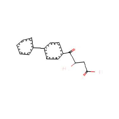 O=C(O)CC(O)C(=O)c1ccc(-c2ccccc2)cc1